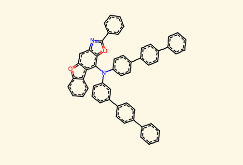 c1ccc(-c2ccc(-c3ccc(N(c4cccc(-c5ccc(-c6ccccc6)cc5)c4)c4c5oc(-c6ccccc6)nc5cc5oc6ccccc6c45)cc3)cc2)cc1